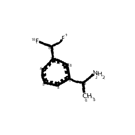 CC(N)c1cccc(C(F)F)c1